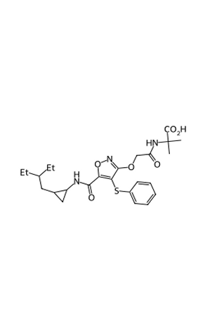 CCC(CC)CC1CC1NC(=O)c1onc(OCC(=O)NC(C)(C)C(=O)O)c1Sc1ccccc1